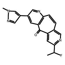 CC(F)c1cc2c(=O)c3cc(-c4cnn(C)c4)cnc3ccc2cn1